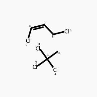 CC(Cl)(Cl)Cl.Cl/C=C\CCl